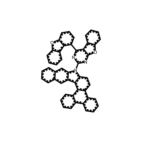 c1ccc2cc3c(cc2c1)c1c2c4ccccc4c4ccccc4c2ccc1n3-c1nc(-c2cccc3oc4ccccc4c23)c2c(n1)oc1ccccc12